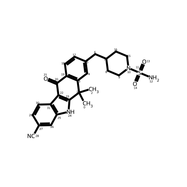 CC1(C)c2cc(CC3CCN(S(N)(=O)=O)CC3)ccc2C(=O)c2c1[nH]c1cc(C#N)ccc21